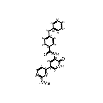 CNc1nccc(-c2c[nH]c(=O)c(NC(=O)C3C=CC(Cc4ccccc4)=CC3)c2)n1